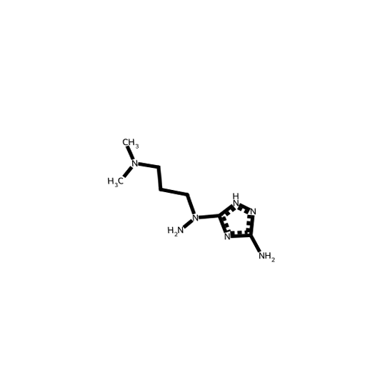 CN(C)CCCN(N)c1nc(N)n[nH]1